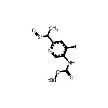 CC([S+]=O)c1cc(I)c(NC(=O)OC(C)(C)C)cn1